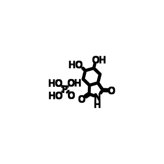 O=C1NC(=O)C2CC(O)C(O)CC12.O=P(O)(O)O